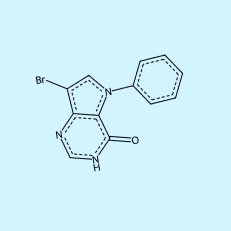 O=c1[nH]cnc2c(Br)cn(-c3ccccc3)c12